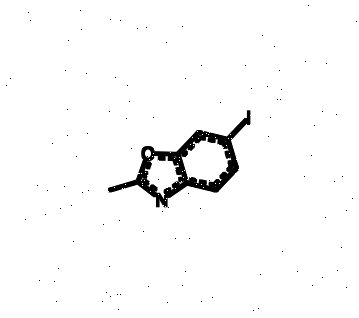 Cc1nc2ccc(I)cc2o1